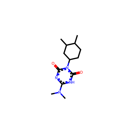 CC1CCC(n2c(=O)nc(N(C)C)[nH]c2=O)CC1C